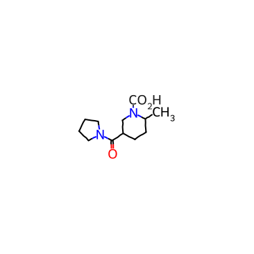 CC1CCC(C(=O)N2CCCC2)CN1C(=O)O